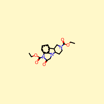 CCOC(=O)N1CCC2C(C1)c1cccc3c1N2CC(=O)N3C(=O)OCC